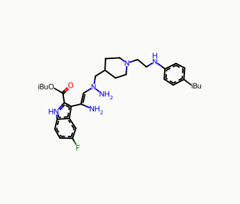 CCC(C)c1ccc(NCCN2CCC(CN(N)/C=C(\N)c3c(C(=O)OCC(C)C)[nH]c4ccc(F)cc34)CC2)cc1